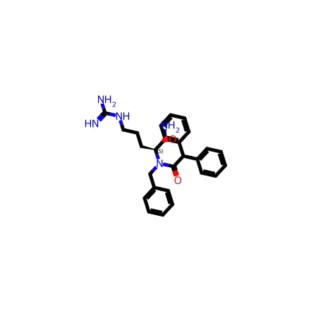 N=C(N)NCCC[C@@H](C(N)=O)N(Cc1ccccc1)C(=O)C(c1ccccc1)c1ccccc1